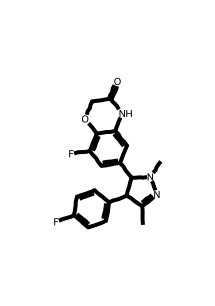 CC1=NN(C)C(c2cc(F)c3c(c2)NC(=O)CO3)C1c1ccc(F)cc1